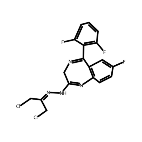 Fc1ccc2c(c1)C(c1c(F)cccc1F)=NCC(NN=C(CCl)CCl)=N2